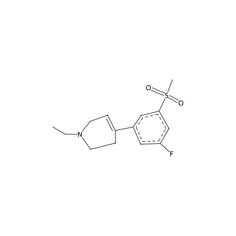 CCN1CC=C(c2cc(F)cc(S(C)(=O)=O)c2)CC1